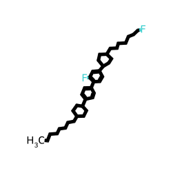 CCCCCCCCC1CCC(c2ccc(-c3ccc(C4CCC(CCCCCCCF)CC4)cc3F)cc2)CC1